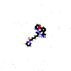 NC(=O)c1cccc(-c2cn[nH]c2)c1-c1nc(CCCCCC(=O)N2CCCCC2)cn1-c1ccccc1